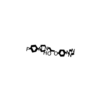 OC(COc1ccc(-n2cncn2)cc1)CN1CCN(c2ccc(F)cc2)CC1